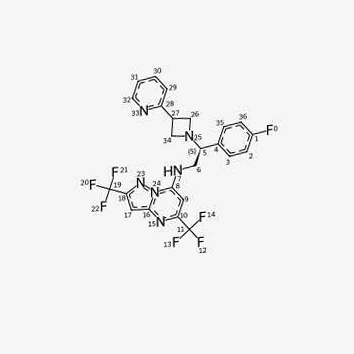 Fc1ccc([C@@H](CNc2cc(C(F)(F)F)nc3cc(C(F)(F)F)nn23)N2CC(c3ccccn3)C2)cc1